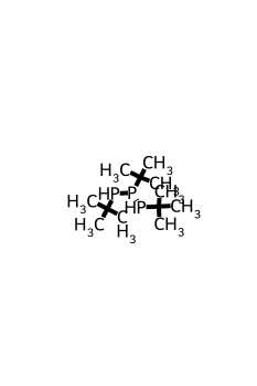 CC(C)(C)PP(PC(C)(C)C)C(C)(C)C